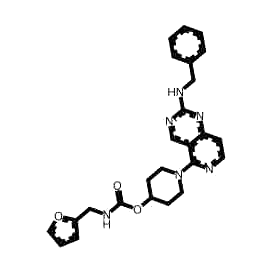 O=C(NCc1ccco1)OC1CCN(c2nccc3nc(NCc4ccccc4)ncc23)CC1